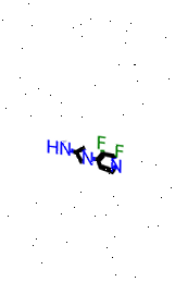 CNC1CN(c2ccnc(F)c2F)C1